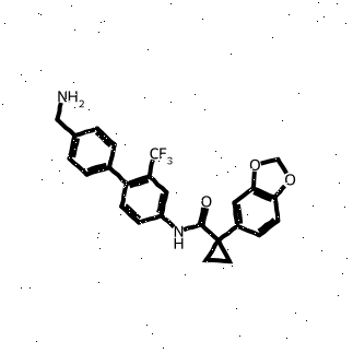 NCc1ccc(-c2ccc(NC(=O)C3(c4ccc5c(c4)OCO5)CC3)cc2C(F)(F)F)cc1